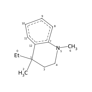 CCC1(C)CCN(C)c2ccccc21